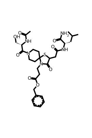 CC(=O)N[C@@H](CO)C(=O)N1CCC2(CC1)SC(CC(=O)N[C@@H](CC(C)C)C(N)=O)C(=O)N2CCC(=O)OCc1ccccc1